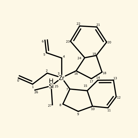 C=C[CH2][Zr]([CH2]C=C)([CH]1CCC2C=CC=CC21)([CH]1CCC2C=CC=CC21)[SiH](C)C